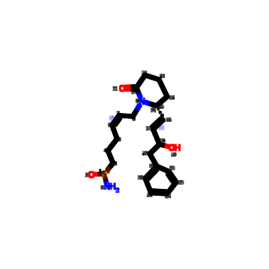 N[S+]([O-])CCC/C=C\CN1C(=O)CCC[C@@H]1/C=C/C(O)Cc1ccccc1